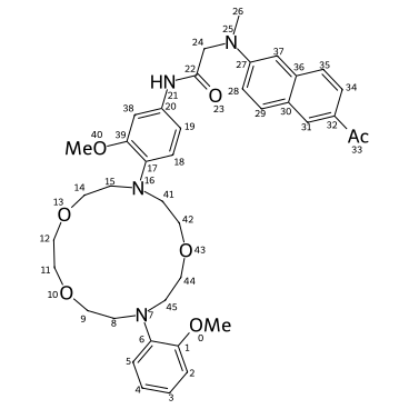 COc1ccccc1N1CCOCCOCCN(c2ccc(NC(=O)CN(C)c3ccc4cc(C(C)=O)ccc4c3)cc2OC)CCOCC1